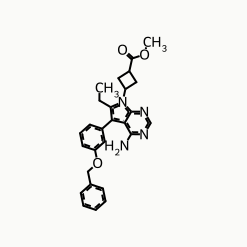 CCc1c(-c2cccc(OCc3ccccc3)c2)c2c(N)ncnc2n1C1CC(C(=O)OC)C1